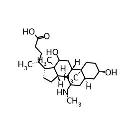 CNC1C[C@@H]2C[C@H](O)CC[C@]2(C)[C@H]2CC(O)[C@]3(C)[C@@H]([C@H](C)CCC(=O)O)CC[C@H]3[C@H]12